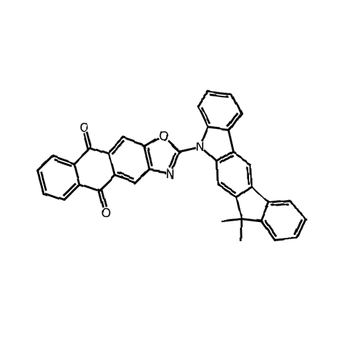 CC1(C)c2ccccc2-c2cc3c4ccccc4n(-c4nc5cc6c(cc5o4)C(=O)c4ccccc4C6=O)c3cc21